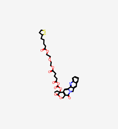 CCC1(OC(=O)OC(=O)CCCC(=O)OCCOCCOC(=O)CCCCC2CCSS2)C(=O)OCc2c1cc1n(c2=O)Cc2cc3ccccc3nc2-1